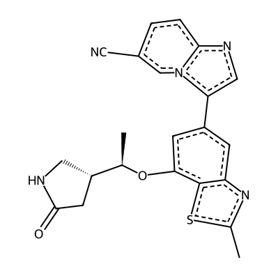 Cc1nc2cc(-c3cnc4ccc(C#N)cn34)cc(O[C@H](C)[C@H]3CNC(=O)C3)c2s1